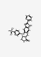 CS(=O)(=O)c1ccc(Oc2cc3nc(-c4ccccn4)[nH]c3cc2CN2CCCC2=O)cn1